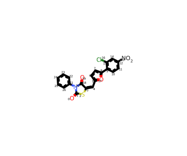 O=C1S/C(=C/c2ccc(-c3ccc([N+](=O)[O-])cc3Cl)o2)C(=O)N1c1ccccc1